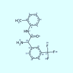 Cc1ccccc1NC(=O)C(N)c1cccc(C(F)(F)F)c1